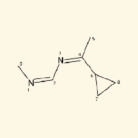 C/N=C\N=C(\C)C1CC1